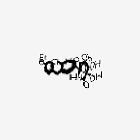 CCOc1ccc(Cc2cc([C@]34NC(=O)[C@](CO)(O3)[C@@H](O)[C@H](O)[C@H]4O)ccc2Cl)cc1